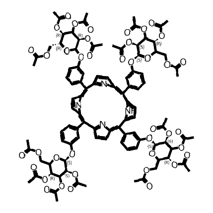 CC(=O)OCC1O[C@@H](Oc2cccc(-c3c4nc(c(-c5cccc(O[C@@H]6OC(COC(C)=O)[C@@H](OC(C)=O)C(OC(C)=O)[C@@H]6OC(C)=O)c5)c5ccc([nH]5)c(-c5cccc(O[C@@H]6OC(COC(C)=O)[C@@H](OC(C)=O)C(OC(C)=O)[C@@H]6OC(C)=O)c5)c5nc(c(-c6cccc(OC7O[C@H](COC(C)=O)[C@@H](OC(C)=O)C(OC(C)=O)[C@H]7OC(C)=O)c6)c6ccc3[nH]6)C=C5)C=C4)c2)[C@@H](OC(C)=O)C(OC(C)=O)[C@@H]1OC(C)=O